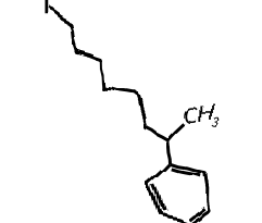 CC(CCCCCCI)c1ccccc1